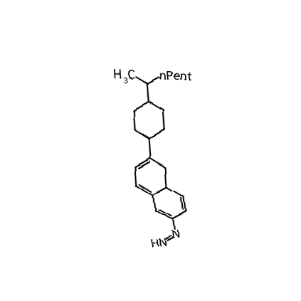 CCCCCC(C)C1CCC(C2=CC=C3C=C(N=N)C=CC3C2)CC1